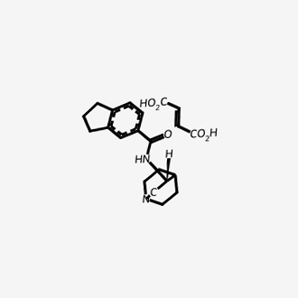 O=C(N[C@H]1CN2CCC1CC2)c1ccc2c(c1)CCC2.O=C(O)/C=C/C(=O)O